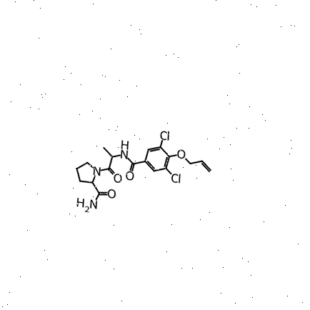 C=CCOc1c(Cl)cc(C(=O)NC(C)C(=O)N2CCCC2C(N)=O)cc1Cl